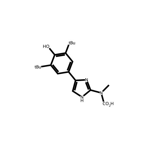 CN(C(=O)O)c1nc(-c2cc(C(C)(C)C)c(O)c(C(C)(C)C)c2)c[nH]1